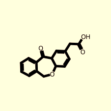 O=C(O)CC1=CC2C(=O)c3ccccc3COC2C=C1